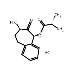 C[C@H](N)C(=O)N[C@@H]1C(=O)N(C)CCc2ccccc21.Cl